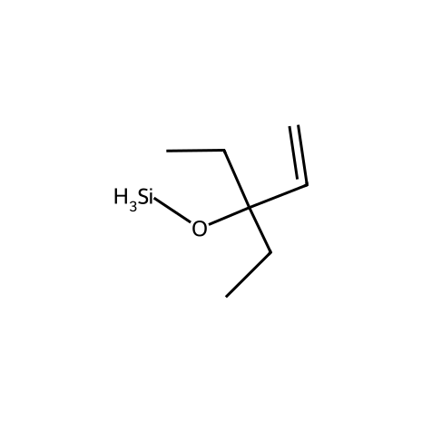 C=CC(CC)(CC)O[SiH3]